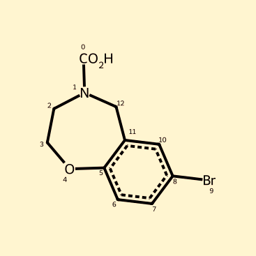 O=C(O)N1CCOc2ccc(Br)cc2C1